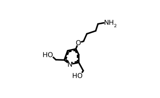 NCCCCOc1cc(CO)nc(CO)c1